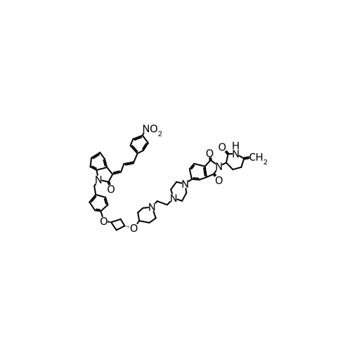 C=C1CCC(N2C(=O)c3ccc(N4CCN(CCN5CCC(O[C@H]6C[C@H](Oc7ccc(CN8C(=O)/C(=C/C=C/c9ccc([N+](=O)[O-])cc9)c9ccccc98)cc7)C6)CC5)CC4)cc3C2=O)C(=O)N1